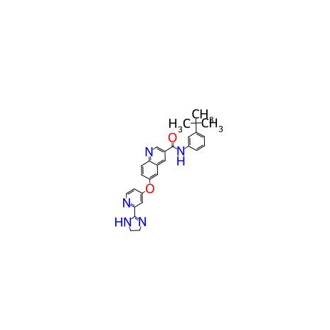 CC(C)(C)c1cccc(NC(=O)c2cnc3ccc(Oc4ccnc(C5=NCCN5)c4)cc3c2)c1